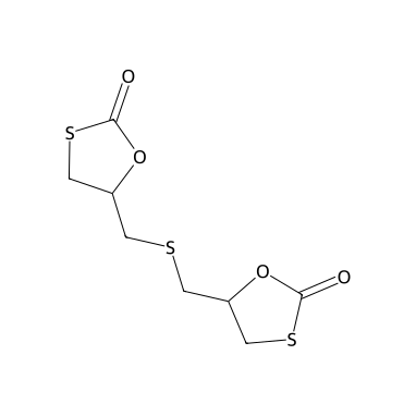 O=C1OC(CSCC2CSC(=O)O2)CS1